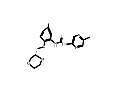 Cc1cnc(NC(=O)Nc2cc(Cl)ccc2OC[C@H]2COCCN2)cn1